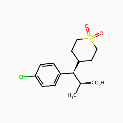 C[C@H](C(=O)O)[C@@H](c1ccc(Cl)cc1)C1CCS(=O)(=O)CC1